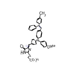 COc1ccc(N(c2ccc(/C=C3\N=C(SCC(=O)O)NC3=O)cc2)c2ccc(/C=C(\c3ccccc3)c3ccc(C)cc3)cc2)cc1